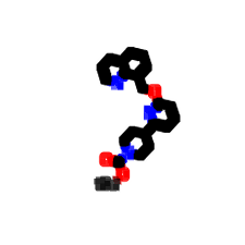 CC(C)(C)OC(=O)N1CCC(c2cccc(OCc3cccc4cccnc34)n2)CC1